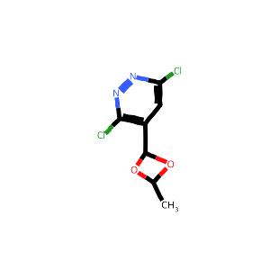 CC1OC(c2cc(Cl)nnc2Cl)O1